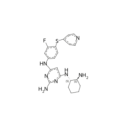 Nc1nc(Nc2ccc(Sc3ccncc3)c(F)c2)cc(N[C@H]2CCCC[C@@H]2N)n1